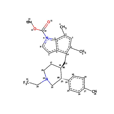 Cc1cc(C)c2c(ccn2C(=O)OC(C)(C)C)c1C[C@@H]1CCN(CC(F)(F)F)C[C@H]1c1ccc(C#N)cc1